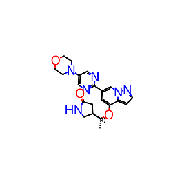 C[C@@H](Oc1cc(-c2ncc(N3CCOCC3)cn2)cn2nccc12)C1CNC(=O)C1